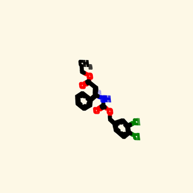 CCOC(=O)/C=C(/NC(=O)OCc1ccc(Cl)c(Cl)c1)c1ccccc1